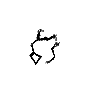 CCC(C)OC1CCC1.OCCO